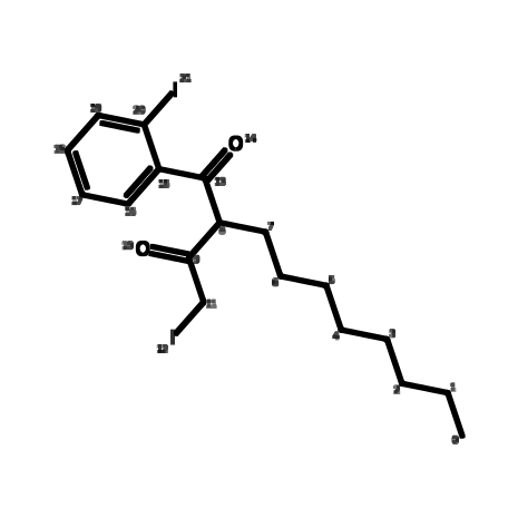 CCCCCCCCC(C(=O)CI)C(=O)c1ccccc1I